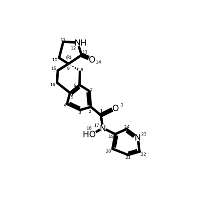 O=C(c1ccc2c(c1)C[C@@]1(CCNC1=O)CC2)N(O)c1cccnc1